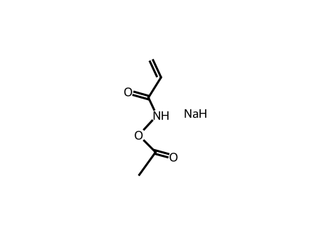 C=CC(=O)NOC(C)=O.[NaH]